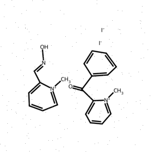 C[n+]1ccccc1C(=O)c1ccccc1.C[n+]1ccccc1C=NO.[I-].[I-]